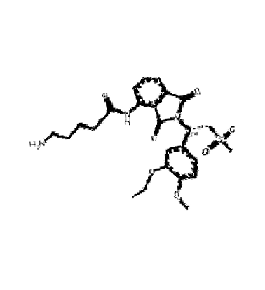 CCOc1cc([C@@H](CS(C)(=O)=O)N2C(=O)c3cccc(NC(=O)CCCCN)c3C2=O)ccc1OC